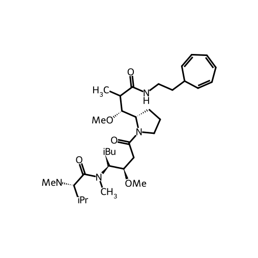 CC[C@H](C)[C@@H]([C@@H](CC(=O)N1CCC[C@H]1[C@H](OC)C(C)C(=O)NCCC1C=CC=CC=C1)OC)N(C)C(=O)[C@@H](NC)C(C)C